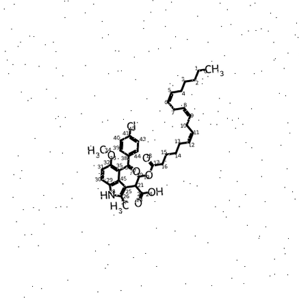 CCCCC/C=C\C/C=C\C/C=C\CCCCC(=O)OCC(C(=O)O)c1c(C)[nH]c2ccc(OC)c(C(=O)c3ccc(Cl)cc3)c12